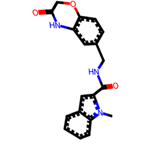 Cn1c(C(=O)NCc2ccc3c(c2)NC(=O)CO3)cc2ccccc21